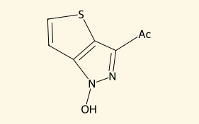 CC(=O)c1nn(O)c2ccsc12